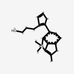 CC1=C2c3c(ccc(C4=C(CCCO)C=CC4)c3[Si]2(C)C)[CH]1